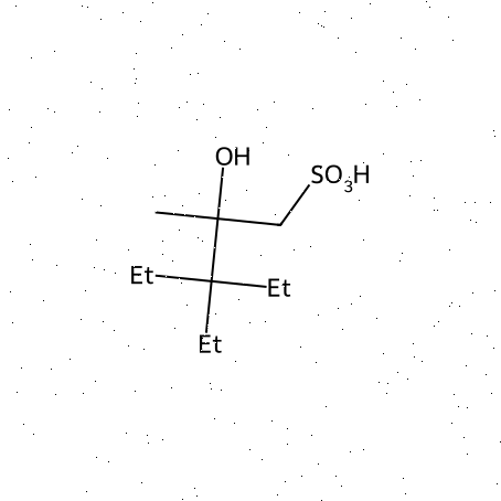 CCC(CC)(CC)C(C)(O)CS(=O)(=O)O